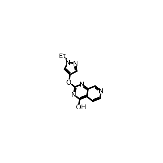 CCn1cc(Oc2nc(O)c3ccncc3n2)cn1